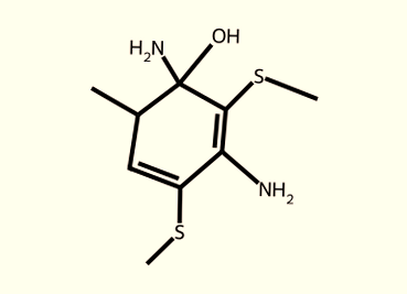 CSC1=CC(C)C(N)(O)C(SC)=C1N